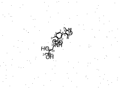 Cc1ccc(-c2c(C)noc2C)cc1S(=O)(=O)NCCC(O)C(C)(C)O